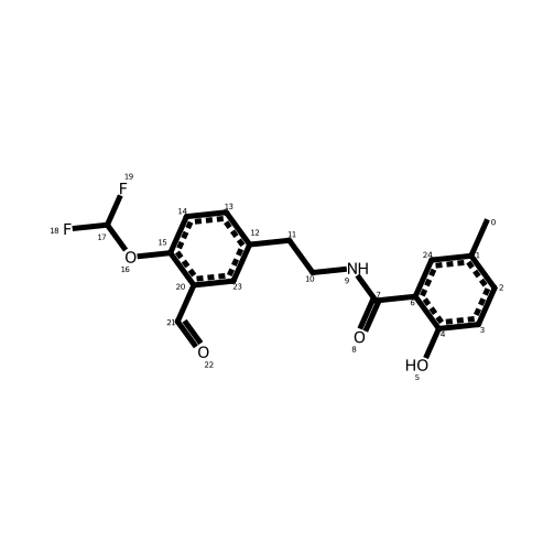 Cc1ccc(O)c(C(=O)NCCc2ccc(OC(F)F)c(C=O)c2)c1